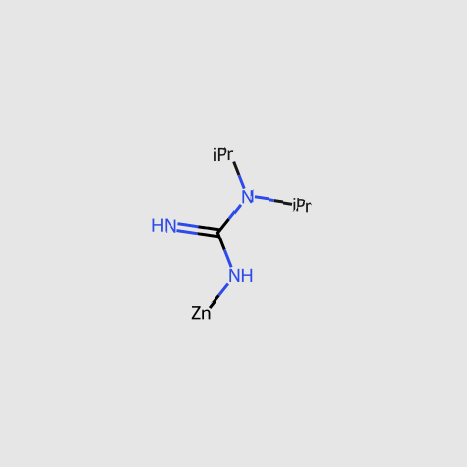 CC(C)N(C(=N)[NH][Zn])C(C)C